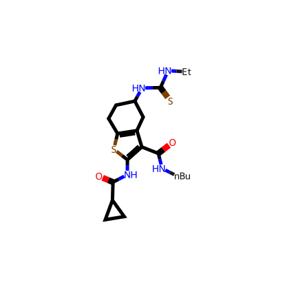 CCCCNC(=O)c1c(NC(=O)C2CC2)sc2c1CC(NC(=S)NCC)CC2